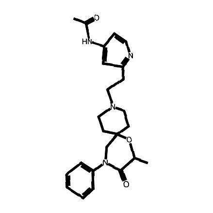 CC(=O)Nc1ccnc(CCN2CCC3(CC2)CN(c2ccccc2)C(=O)C(C)O3)c1